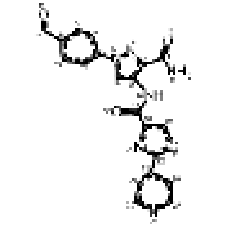 NC(=O)c1nn(-c2ccc(C=O)cc2)cc1NC(=O)c1coc(-c2ccncc2)n1